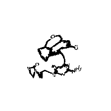 Nc1nc(SCCN2CC=NC2=O)nc(-c2c(Cl)cc3c4c(cccc24)COC3)n1